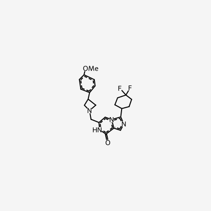 COc1ccc(C2CN(Cc3cn4c(C5CCC(F)(F)CC5)ncc4c(=O)[nH]3)C2)cc1